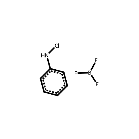 ClNc1ccccc1.FB(F)F